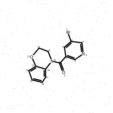 O=C(c1cncc(Br)c1)N1CCOc2ccccc21